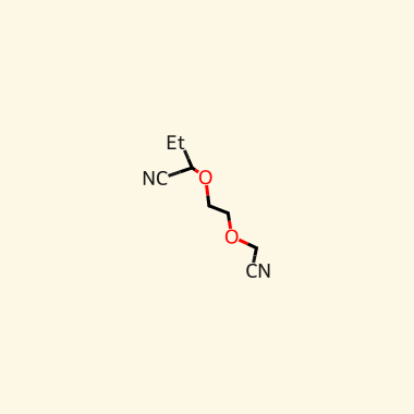 CCC(C#N)OCCOCC#N